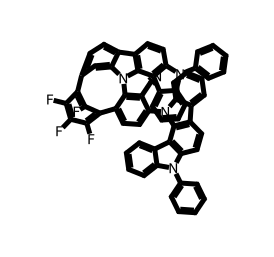 N#Cc1c(-n2c3ccccc3c3ccc4c(c5ccccc5n4-c4ccccc4)c32)ccc2c3c(F)c(F)c(F)c(c3F)c3ccc4c5ccc6c(c7ccccc7n6-c6ccccc6)c5n(c4c3)c12